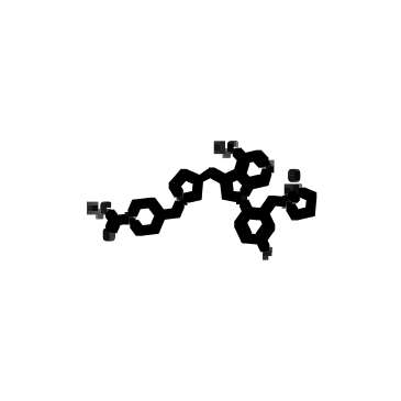 CC(=O)N1CCC(CN2CC[C@@H](Cc3cn(-c4ccc(F)cc4C[N+]4=[SH](=O)CCC4)c4cncc(C)c34)C2)CC1